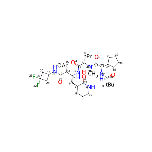 CCC[C@@H](C(=O)N[C@@H](C[C@@H]1CCCNC1O)C(OC(C)=O)C(=O)NC1CC(F)(F)C1)N(C)C(=O)[C@H](NC(=O)C(C)(C)C)C1CCCC1